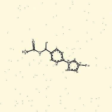 CC(OC(N)=O)c1ccc(-n2cc(F)cn2)nc1